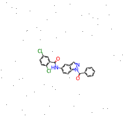 O=C(Nc1ccc2c(cnn2C(=O)c2ccccc2)c1)c1cc(Cl)ccc1Cl